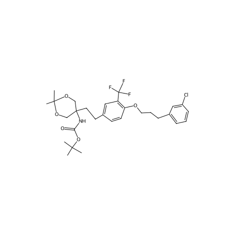 CC(C)(C)OC(=O)NC1(CCc2ccc(OCCCc3cccc(Cl)c3)c(C(F)(F)F)c2)COC(C)(C)OC1